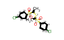 C=C(SC(=C)S(=O)(=O)c1ccc(Cl)cc1)S(=O)(=O)c1ccc(Cl)cc1